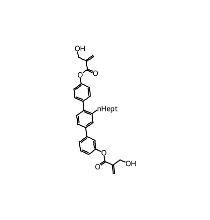 C=C(CO)C(=O)Oc1ccc(-c2ccc(-c3cccc(OC(=O)C(=C)CO)c3)cc2CCCCCCC)cc1